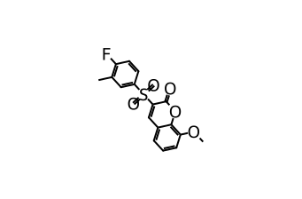 COc1cccc2cc(S(=O)(=O)c3ccc(F)c(C)c3)c(=O)oc12